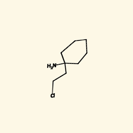 NC1(CCCl)CCCCC1